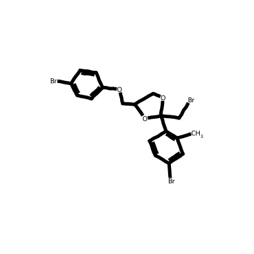 Cc1cc(Br)ccc1C1(CBr)OCC(COc2ccc(Br)cc2)O1